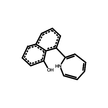 Oc1cc[c]c2cccc(C3=CC=CC=CN3)c12